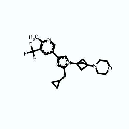 Cc1ncc(-c2cn(C34CC(N5CCOCC5)(C3)C4)c(CC3CC3)n2)cc1C(F)(F)F